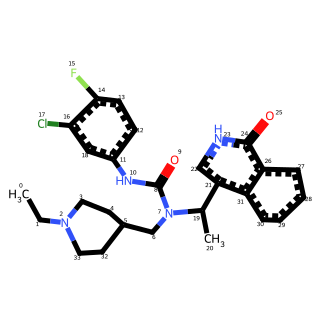 CCN1CCC(CN(C(=O)Nc2ccc(F)c(Cl)c2)C(C)c2c[nH]c(=O)c3ccccc23)CC1